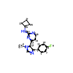 CCn1cnc(-c2ccc(F)cc2)c1-c1ccnc(NC2CCC2)n1